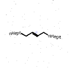 CCCCCC[CH]C/C=C/CCCCCCCC